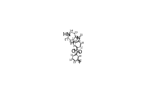 CC1C[C@@H]2c3cc(S(=O)(=O)c4cccc(F)c4)ccc3N(C)C2CCN1